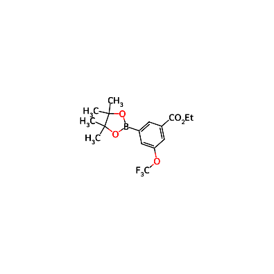 CCOC(=O)c1cc(OC(F)(F)F)cc(B2OC(C)(C)C(C)(C)O2)c1